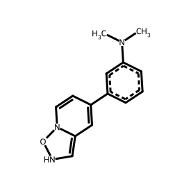 CN(C)c1cccc(C2=CC3=CNON3C=C2)c1